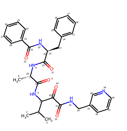 CC(C)C(NC(=O)[C@H](C)NC(=O)[C@H](Cc1ccccc1)NC(=O)c1ccccc1)C(=O)C(=O)NCc1cccnc1